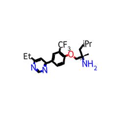 CCc1cc(-c2ccc(OC[C@@](C)(N)CC(C)C)c(C(F)(F)F)c2)ncn1